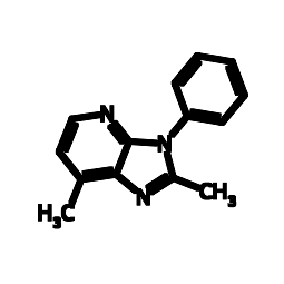 Cc1ccnc2c1nc(C)n2-c1ccccc1